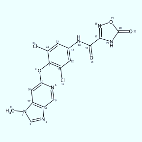 Cn1cnc2cnc(Oc3c(Cl)cc(NC(=O)c4noc(=O)[nH]4)cc3Cl)cc21